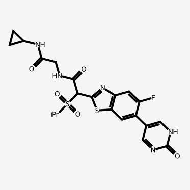 CC(C)S(=O)(=O)C(C(=O)NCC(=O)NC1CC1)c1nc2cc(F)c(-c3cnc(=O)[nH]c3)cc2s1